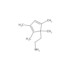 CC1=CC(C)=C(C)C1(C)CCN